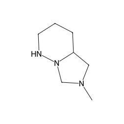 CN1CC2CCCNN2C1